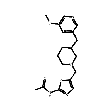 COc1cncc(CC2CCCN(Cc3cnc(NC(C)=O)s3)C2)c1